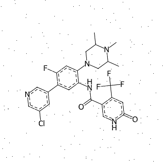 CC1CN(c2cc(F)c(-c3cncc(Cl)c3)cc2NC(=O)c2c[nH]c(=O)cc2C(F)(F)F)CC(C)N1C